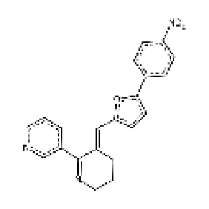 O=[N+]([O-])c1ccc(-c2ccc(/C=C3\CCCN=C3c3cccnc3)o2)cc1